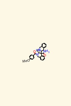 CCC1N(C(=O)c2ccc(OC)cc2)Cc2ccccc2C1(C(N)=O)C1Cc2ccccc2CN1